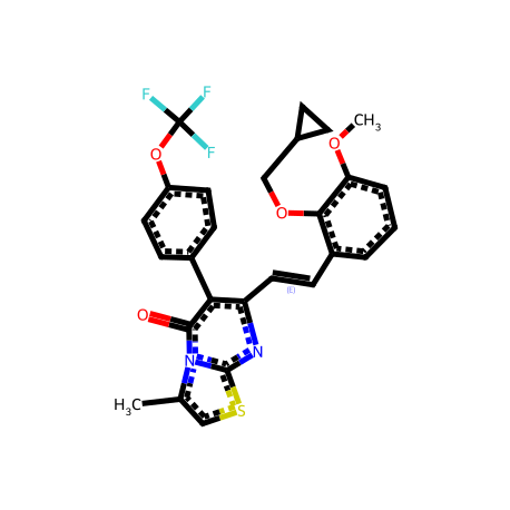 COc1cccc(/C=C/c2nc3scc(C)n3c(=O)c2-c2ccc(OC(F)(F)F)cc2)c1OCC1CC1